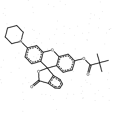 CC(C)(C)C(=O)Oc1ccc2c(c1)Oc1cc(N3CCCCC3)ccc1C21OC(=O)c2ccccc21